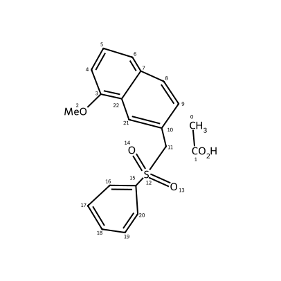 CC(=O)O.COc1cccc2ccc(CS(=O)(=O)c3ccccc3)cc12